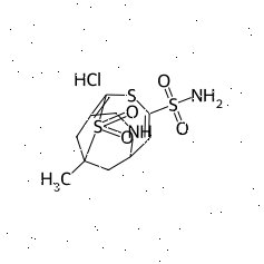 CC12CC3=C(S/C(S(N)(=O)=O)=C\C(C1)NC3)S2(=O)=O.Cl